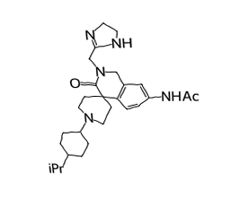 CC(=O)Nc1ccc2c(c1)CN(CC1=NCCN1)C(=O)C21CCN(C2CCC(C(C)C)CC2)CC1